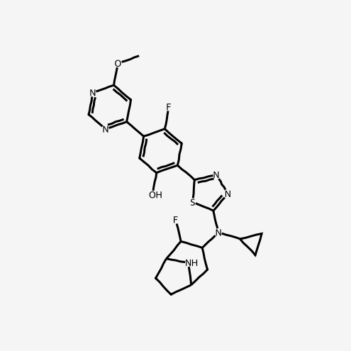 COc1cc(-c2cc(O)c(-c3nnc(N(C4CC4)C4CC5CCC(N5)C4F)s3)cc2F)ncn1